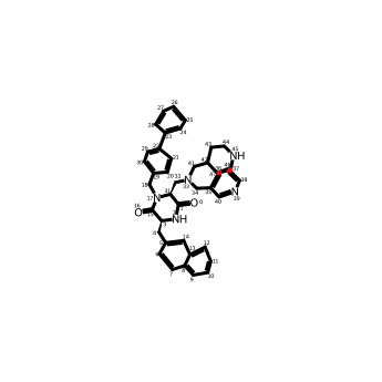 O=C1N[C@@H](Cc2ccc3ccccc3c2)C(=O)N(Cc2ccc(-c3ccccc3)cc2)[C@H]1CN(Cc1cccnc1)CC1CCNCC1